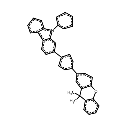 CC1(C)c2ccccc2Oc2ccc(-c3ccc(-c4ccc5c6ccccc6n(-c6ccccc6)c5c4)cc3)cc21